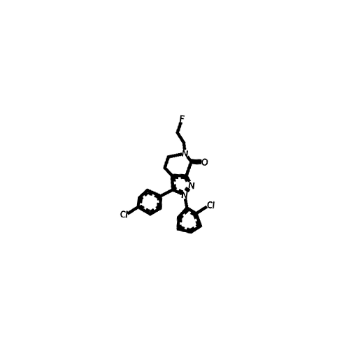 O=C1c2nn(-c3ccccc3Cl)c(-c3ccc(Cl)cc3)c2CCN1CCF